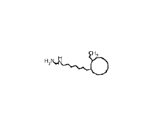 CCC1CCCCCCCCCC(CCCCCCCNCN)C1